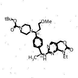 CCN1C(=O)OCc2cnc(N[C@@H](C)c3ccc([C@H](CCOC)N4CCN(C(=O)OC(C)(C)C)CC4)cc3)nc21